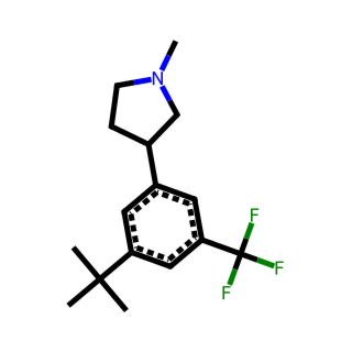 CN1CCC(c2cc(C(C)(C)C)cc(C(F)(F)F)c2)C1